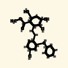 COC(=O)c1c(O)cc(O)c(Cl)c1CCc1ccc(Cl)cc1Oc1ccccc1